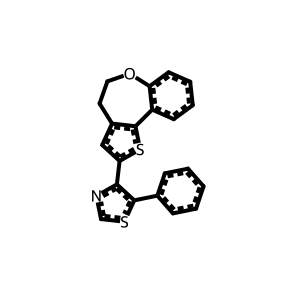 c1ccc(-c2scnc2-c2cc3c(s2)-c2ccccc2OCC3)cc1